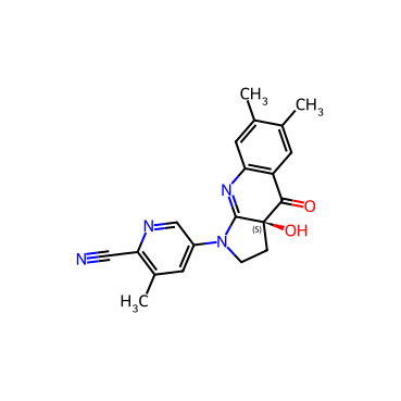 Cc1cc2c(cc1C)C(=O)[C@]1(O)CCN(c3cnc(C#N)c(C)c3)C1=N2